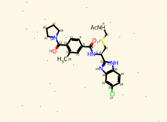 CC(=O)NCSC[C@H](NC(=O)c1ccc(C(=O)N2CCCC2)c(C)c1)c1nc2cc(Cl)ccc2[nH]1